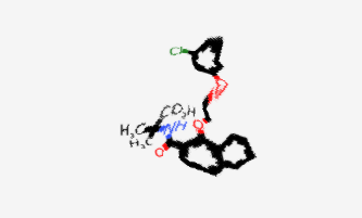 CC(C)(NC(=O)c1ccc2ccccc2c1OCCOc1cccc(Cl)c1)C(=O)O